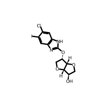 O[C@@H]1CO[C@@H]2[C@H]1OC[C@@H]2Oc1nc2cc(I)c(Cl)cc2[nH]1